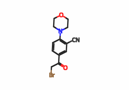 N#Cc1cc(C(=O)CBr)ccc1N1CCOCC1